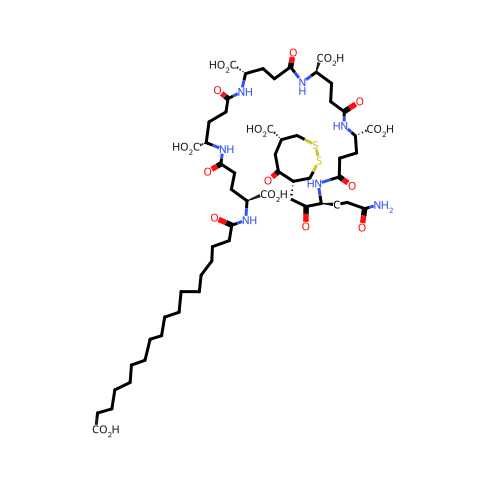 NC(=O)CC[C@H](NC(=O)CC[C@H](NC(=O)CC[C@@H](NC(=O)CC[C@H](NC(=O)CC[C@H](NC(=O)CC[C@H](NC(=O)CCCCCCCCCCCCCCCCC(=O)O)C(=O)O)C(=O)O)C(=O)O)C(=O)O)C(=O)O)C(=O)C[C@H]1CSSC[C@@H](C(=O)O)CC1=O